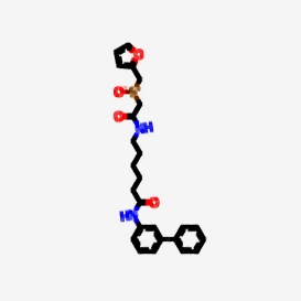 O=C(C[S+]([O-])Cc1ccco1)NCCCCCC(=O)Nc1cccc(-c2ccccc2)c1